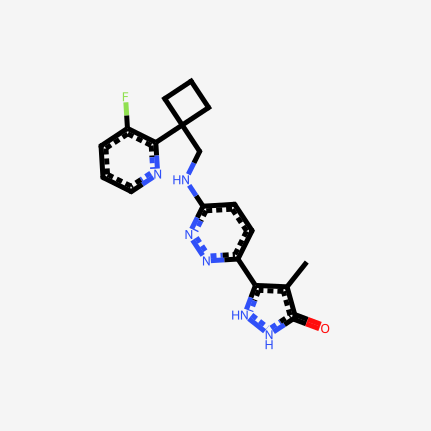 Cc1c(-c2ccc(NCC3(c4ncccc4F)CCC3)nn2)[nH][nH]c1=O